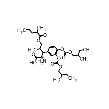 CCCC(C)C(=O)OCC(C)C(c1ccc(OC(=O)OCC(C)CC)c(OC(=O)OCC(C)CC)c1)[C@H](N)C(=O)O